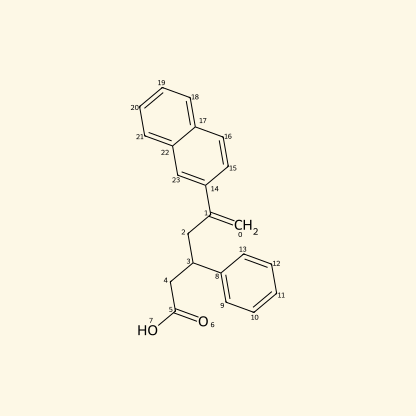 C=C(CC(CC(=O)O)c1ccccc1)c1ccc2ccccc2c1